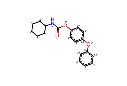 O=C(NC1CCCCC1)Oc1ccc(Oc2ccccc2)cc1